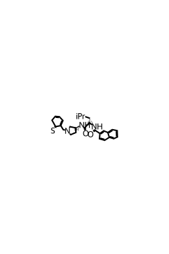 CC(C)C[C@H](NC(=O)c1ccc2ccccc2c1)C(=O)N[C@H]1CCN(CC2=CC=CCC2=S)C1